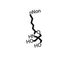 CCCCCCCCCCCCCCC1NC(CO)(CO)CO1